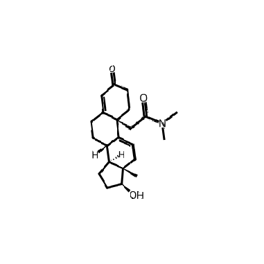 CN(C)C(=O)C[C@]12CCC(=O)C=C1CC[C@@H]1C2=CC[C@]2(C)[C@@H](O)CC[C@@H]12